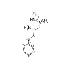 C=C(C[C@@H](N)CSc1ccccc1)NC